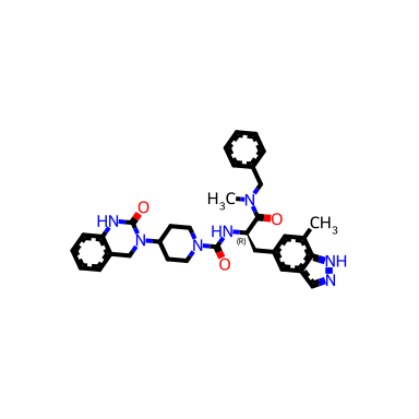 Cc1cc(C[C@@H](NC(=O)N2CCC(N3Cc4ccccc4NC3=O)CC2)C(=O)N(C)Cc2ccccc2)cc2cn[nH]c12